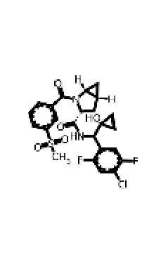 CS(=O)(=O)c1cccc(C(=O)N2[C@@H](C(=O)NC(c3cc(F)c(Cl)cc3F)C3(O)CC3)C[C@H]3C[C@H]32)c1